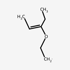 [CH2]COC(=CC)CC